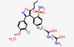 C.CCCc1onc(-c2ccc(OC)c(Cl)c2)c1-c1ccccc1S(N)(=O)=O.NC(O)=S.NC(O)=S.O